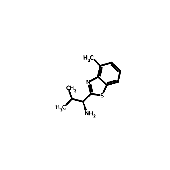 Cc1cccc2sc([C@@H](N)C(C)C)nc12